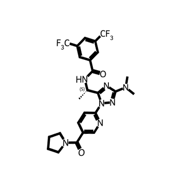 C[C@H](NC(=O)c1cc(C(F)(F)F)cc(C(F)(F)F)c1)c1nc(N(C)C)nn1-c1ccc(C(=O)N2CCCC2)cn1